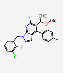 Cc1ccc(-c2c(C(C=O)OC(C)(C)C)c(C)nc3c2ccn3Cc2cccc(Cl)c2F)cc1